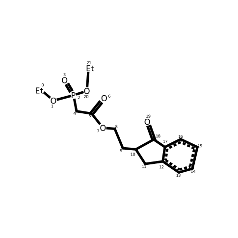 CCOP(=O)(CC(=O)OCCC1Cc2ccccc2C1=O)OCC